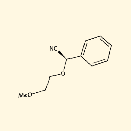 COCCO[C@@H](C#N)c1ccccc1